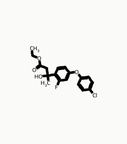 CCOC(=O)CC(C)(O)c1ccc(Oc2ccc(Cl)cc2)cc1F